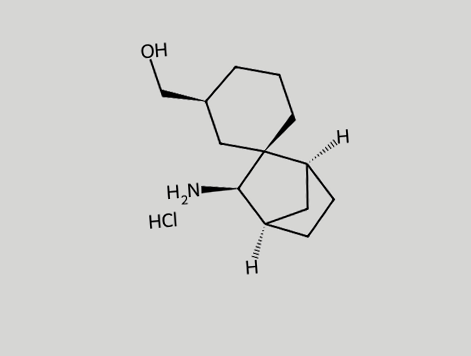 Cl.N[C@@H]1[C@@H]2CC[C@@H](C2)[C@]12CCC[C@H](CO)C2